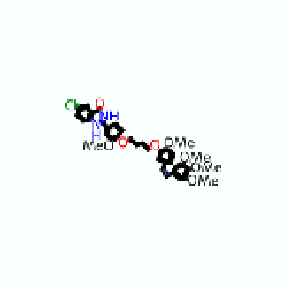 COc1cc(C2NC(=O)c3cc(Cl)ccc3N2)ccc1OCCCCOc1cc(/C=C\c2cc(OC)c(OC)c(OC)c2)ccc1OC